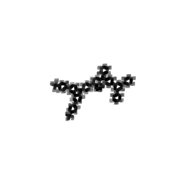 CC(C)(C)c1ccc(-c2ccc3c(c2)c2cc(-c4ccc(C(C)(C)C)cc4)ccc2n3-c2ccc(-c3ccc(N(c4ccccc4)c4ccc(-c5cc(-c6ccccc6)cc(-c6ccccc6)c5)cc4)c4nsnc34)cc2)cc1